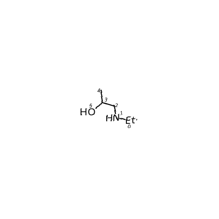 C[CH]NCC(C)O